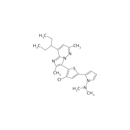 CCC(CC)c1cc(C)nn2c(-c3sc(-c4cccn4N(C)C)cc3Cl)c(C)nc12